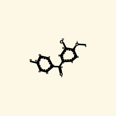 COc1ccc(C(=O)c2ccc(C)cc2)cc1Cl